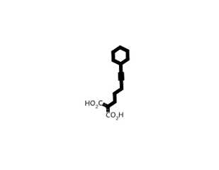 O=C(O)C(CCCC#CC1CCCCC1)C(=O)O